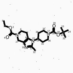 CCOC(=O)N1CCc2c(nc(C)n2C2CCN(C(=O)OC(C)(C)C)CC2)C1